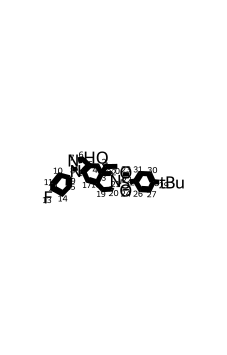 CC(O)C12Cc3cnn(-c4ccc(F)cc4)c3C=C1CCN(S(=O)(=O)c1ccc(C(C)(C)C)cc1)C2